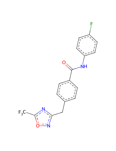 O=C(Nc1ccc(F)cc1)c1ccc(Cc2noc(C(F)(F)F)n2)cc1